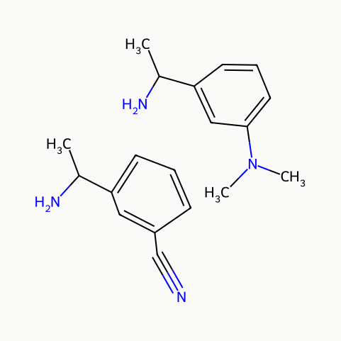 CC(N)c1cccc(C#N)c1.CC(N)c1cccc(N(C)C)c1